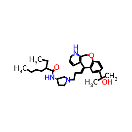 CCCCC(CC)C(=O)N[C@H]1CCN(CC/C=C2\C3=C(COc4ccc(C(C)(C)O)cc42)NCC=C3)C1